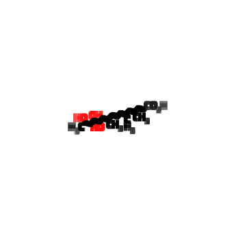 CC(=C\C=C\C(C)=C\[C@@H](O)[C@H](O)C[C@@H](C)O)/C=C(C)/C=C/C(=O)O